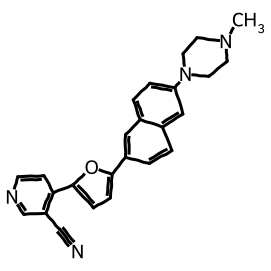 CN1CCN(c2ccc3cc(-c4ccc(-c5ccncc5C#N)o4)ccc3c2)CC1